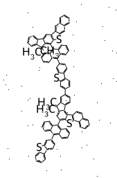 CC1(C)c2cc(-c3ccc4c(c3)sc3cc(-c5c6ccccc6c(-c6c7c(cc8c6sc6cc9ccccc9cc68)-c6ccccc6C7(C)C)c6ccccc56)ccc34)ccc2-c2c1cc(-c1c3ccccc3c(-c3ccc4c(c3)sc3ccccc34)c3ccccc13)c1sc3c4ccccc4ccc3c21